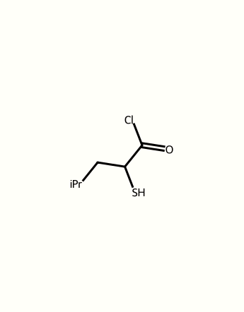 CC(C)CC(S)C(=O)Cl